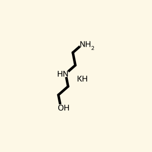 NCCNCCO.[KH]